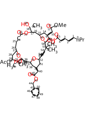 CCC/C=C/C=C/C(=O)O[C@H]1/C(=C/C(=O)OC)CC2CC([C@@H](C)O)OC(=O)CCCC3CC(OC(C)=O)C(C)(C)[C@](O)(C[C@@H]4C/C(=C\C(=O)OCc5ccccc5)C[C@H](/C=C/C(C)(C)C1(O)O2)O4)O3